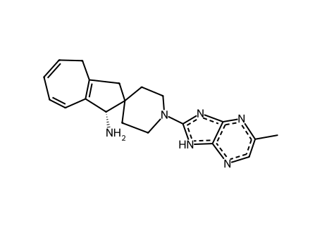 Cc1cnc2[nH]c(N3CCC4(CC3)CC3=C(C=CC=CC3)[C@H]4N)nc2n1